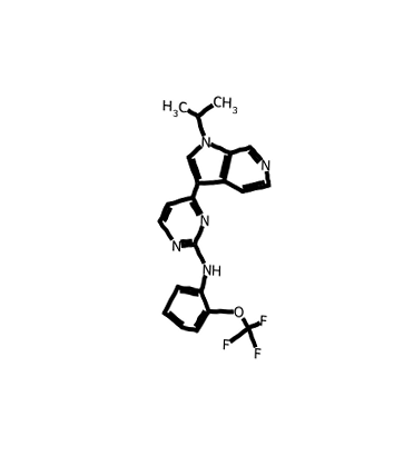 CC(C)n1cc(-c2ccnc(Nc3ccccc3OC(F)(F)F)n2)c2ccncc21